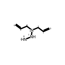 C=CCN(CC=C)N[NH]